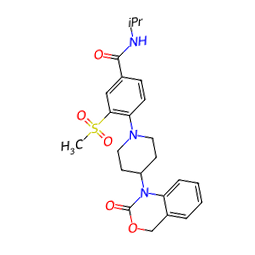 CC(C)NC(=O)c1ccc(N2CCC(N3C(=O)OCc4ccccc43)CC2)c(S(C)(=O)=O)c1